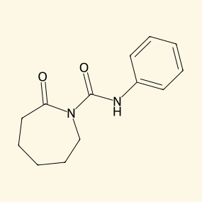 O=C1CCCCCN1C(=O)Nc1ccccc1